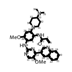 C=CC(=O)Nc1cc(Nc2ncc(OC)c(-c3cnc4ccccc4c3)n2)c(OC)cc1N1CCC(N(C)C)CC1